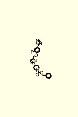 O=C(OCc1ccccc1)N1CCC(n2ncc(COc3ccc(-n4cnnn4)cc3F)n2)CC1